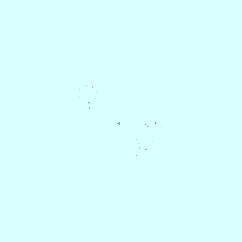 O=c1oc2cccnc2n1CCN1CCC(Cc2ccccc2)CC1